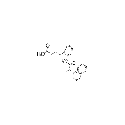 CC(C(=O)Nc1ccccc1CCCC(=O)O)c1cccc2ccccc12